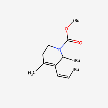 CCC(C)/C=C\C1=C(C)CCN(C(=O)OC(C)(C)C)C1C(C)(C)C